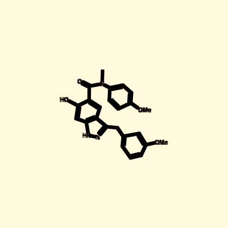 COc1ccc(N(C)C(=O)c2cc3c(Cc4cccc(OC)c4)n[nH]c3cc2O)cc1